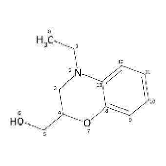 CCN1CC(CO)Oc2ccccc21